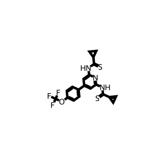 FC(F)(F)Oc1ccc(-c2cc(NC(=S)C3=CC3)nc(NC(=S)C3CC3)c2)cc1